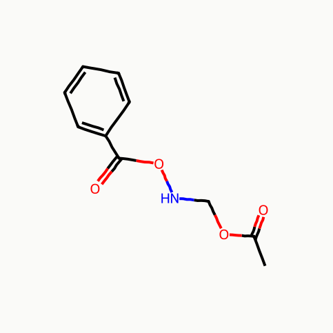 CC(=O)OCNOC(=O)c1ccccc1